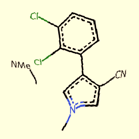 CNC.Cn1cc(C#N)c(-c2cccc(Cl)c2Cl)c1